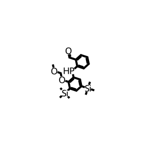 COCOc1c(Pc2ccccc2C=O)cc([Si](C)(C)C)cc1[Si](C)(C)C